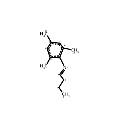 CCCC=Nc1c(C)cc(C)cc1C